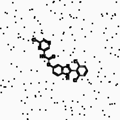 O=C(Nc1cncc(Cl)n1)Oc1ccc2[nH]c(-c3c(Cl)cccc3Cl)nc2c1